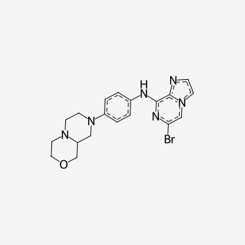 Brc1cn2ccnc2c(Nc2ccc(N3CCN4CCOCC4C3)cc2)n1